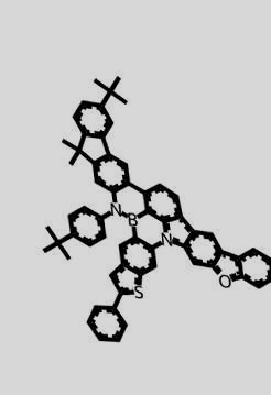 CC(C)(C)c1ccc(N2B3c4cc5cc(-c6ccccc6)sc5cc4-n4c5cc6oc7ccccc7c6cc5c5ccc(c3c54)-c3cc4c(cc32)C(C)(C)c2ccc(C(C)(C)C)cc2-4)cc1